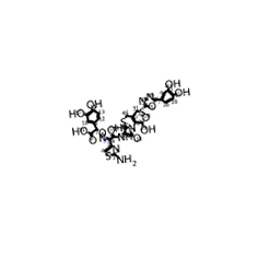 Nc1nc(/C(=N/OC(C(=O)O)c2ccc(O)c(O)c2)C(=O)N[C@@H]2C(=O)N3C(C(=O)O)=C(CSc4nnc(-c5ccc(O)c(O)c5)o4)CS[C@H]23)cs1